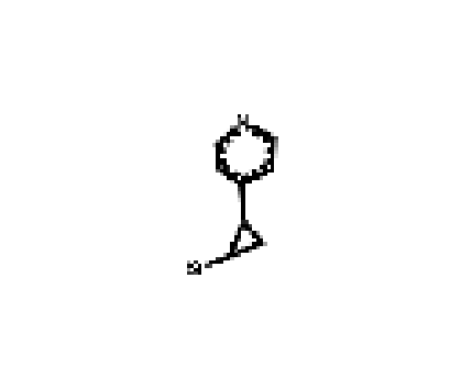 BrC1CC1c1ccncc1